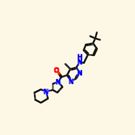 Cc1c(NCc2ccc(C(C)(C)C)cc2)ncnc1C(=O)N1CCC(N2CCCCC2)C1